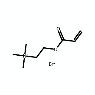 C=CC(=O)OCC[N+](C)(C)C.[Br-]